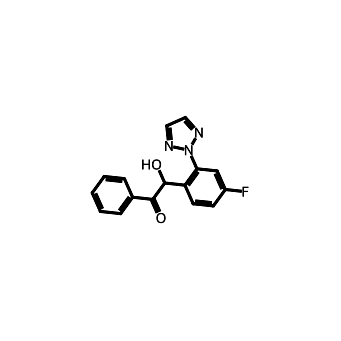 O=C(c1ccccc1)C(O)c1ccc(F)cc1-n1nccn1